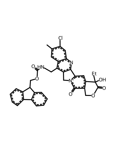 CCC1(O)C(=O)OCc2c1cc1n(c2=O)Cc2c-1nc1cc(Cl)c(C)cc1c2CNC(=O)OCC1c2ccccc2-c2ccccc21